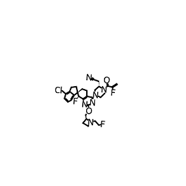 C=C(F)C(=O)N1CCN(c2nc(OC[C@@H]3CCN3CCF)nc3c2CC[C@@]2(CCc4c(Cl)cccc42)[C@H]3F)C[C@@H]1CC#N